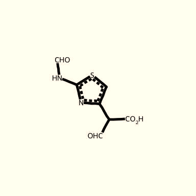 O=CNc1nc(C(C=O)C(=O)O)cs1